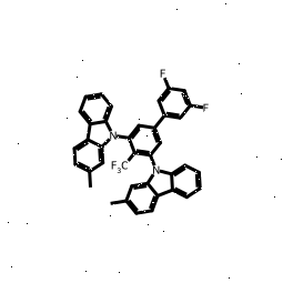 Cc1ccc2c3ccccc3n(-c3cc(-c4cc(F)cc(F)c4)cc(-n4c5ccccc5c5ccc(C)cc54)c3C(F)(F)F)c2c1